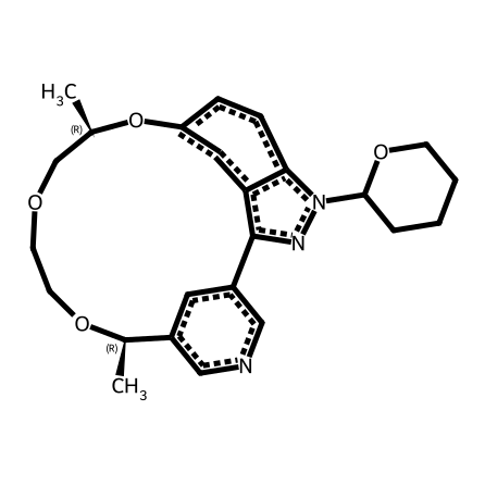 C[C@@H]1COCCO[C@H](C)c2cncc(c2)-c2nn(C3CCCCO3)c3ccc(cc23)O1